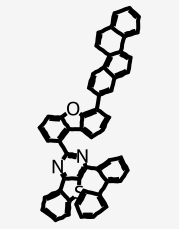 c1ccc(-c2ccccc2-c2nc(-c3cccc4oc5c(-c6ccc7c(ccc8c9ccccc9ccc78)c6)cccc5c34)nc3c2sc2ccccc23)cc1